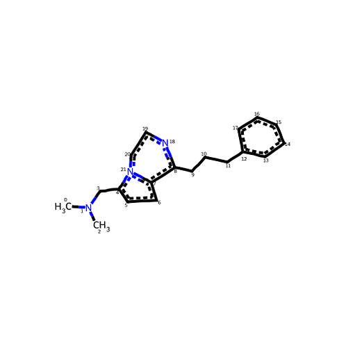 CN(C)Cc1ccc2c(CCCc3ccccc3)nccn12